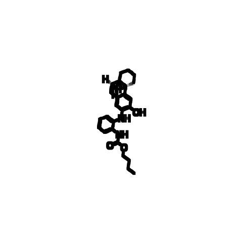 CCCCOC(=O)Nc1ccccc1Nc1cc2c(cc1O)[C@]13CCCC[C@@H]1[C@H](C2)NCC3